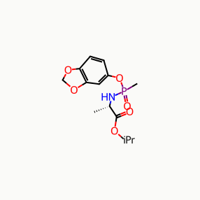 CC(C)OC(=O)[C@H](C)NP(C)(=O)Oc1ccc2c(c1)OCO2